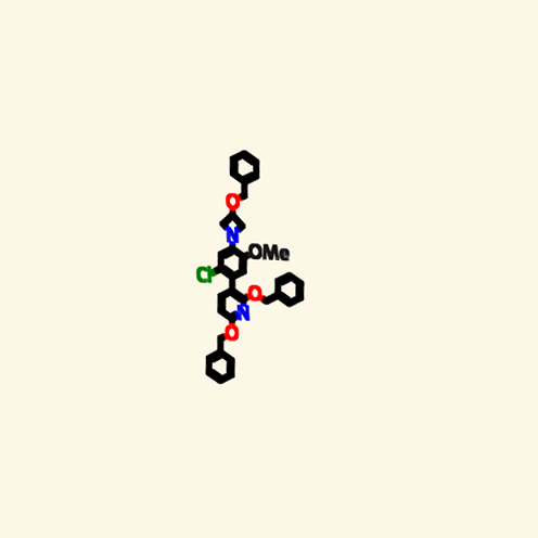 COc1cc(-c2ccc(OCc3ccccc3)nc2OCc2ccccc2)c(Cl)cc1N1CC(OCc2ccccc2)C1